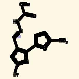 COC(=O)N/N=C/c1cn(C(C)C)nc1-c1ccc([N+](=O)[O-])o1